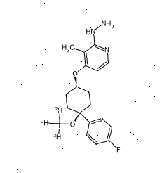 [2H]C([2H])([2H])O[C@]1(c2ccc(F)cc2)CC[C@H](Oc2ccnc(NN)c2C)CC1